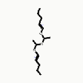 CCC/C=C/OC(C)NC(C)O/C=C/CCC